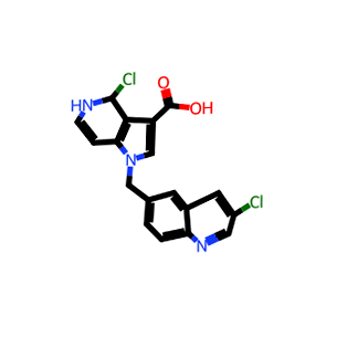 O=C(O)c1cn(Cc2ccc3ncc(Cl)cc3c2)c2c1C(Cl)NC=C2